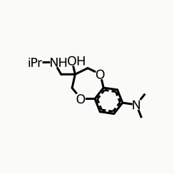 CC(C)NCC1(O)COc2ccc(N(C)C)cc2OC1